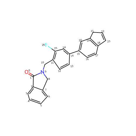 O=C1c2ccccc2CN1Cc1ccc(-c2ccc3c(c2)CC=C3)cc1F